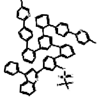 Cc1ccc(-c2ccc(-c3ccccc3-c3cc(-c4ccccc4-c4ccc(-c5ccc(C)cn5)cc4)cc(-c4ccccc4-c4ccc(-c5cc(-c6ccccc6)c6ccccc6n5)cc4OS(=O)(=O)C(F)(F)F)c3)cc2)nc1